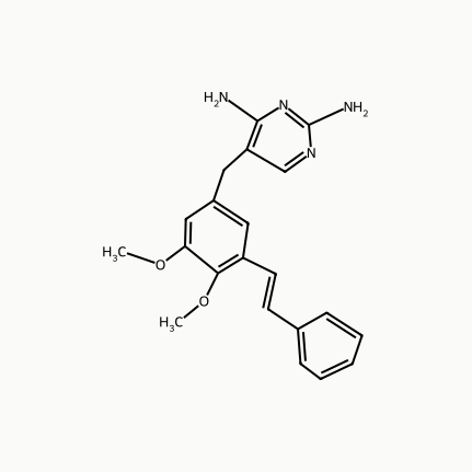 COc1cc(Cc2cnc(N)nc2N)cc(C=Cc2ccccc2)c1OC